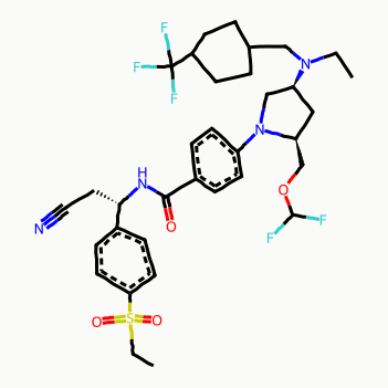 CCN(CC1CCC(C(F)(F)F)CC1)[C@H]1C[C@@H](COC(F)F)N(c2ccc(C(=O)N[C@@H](CC#N)c3ccc(S(=O)(=O)CC)cc3)cc2)C1